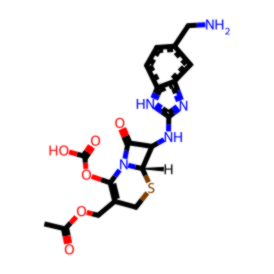 CC(=O)OCC1=C(OC(=O)O)N2C(=O)C(Nc3nc4cc(CN)ccc4[nH]3)[C@@H]2SC1